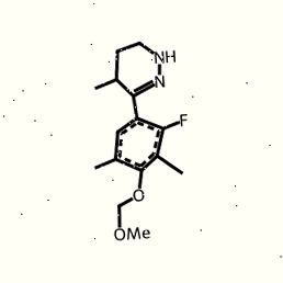 COCOc1c(C)cc(C2=NNCCC2C)c(F)c1C